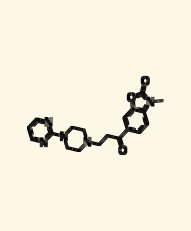 Cn1c(=O)oc2cc(C(=O)CCN3CCN(c4ncccn4)CC3)ccc21